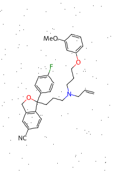 C=CCN(CCCOc1cccc(OC)c1)CCCC1(c2ccc(F)cc2)OCc2cc(C#N)ccc21